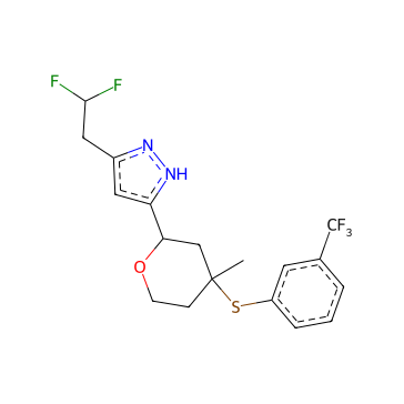 CC1(Sc2cccc(C(F)(F)F)c2)CCOC(c2cc(CC(F)F)n[nH]2)C1